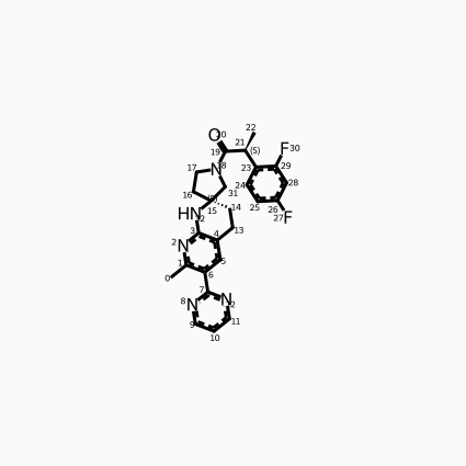 Cc1nc2c(cc1-c1ncccn1)CC[C@@]1(CCN(C(=O)[C@@H](C)c3ccc(F)cc3F)C1)N2